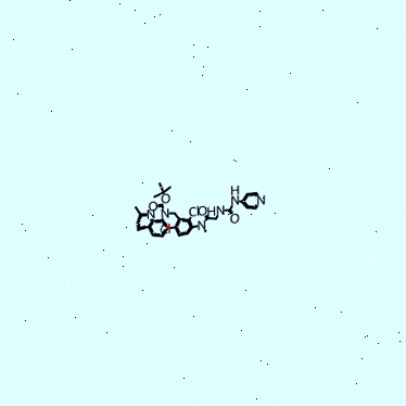 Cc1ccc2cccc(N(Cc3c(Cl)ccc(N(C)C(=O)CNC(=O)Nc4ccncc4)c3Cl)C(=O)OC(C)(C)C)c2n1